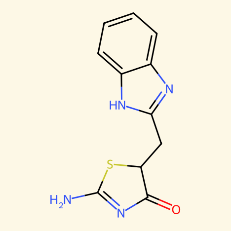 NC1=NC(=O)C(Cc2nc3ccccc3[nH]2)S1